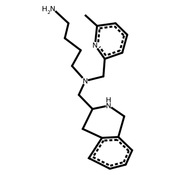 Cc1cccc(CN(CCCCN)CC2Cc3ccccc3CN2)n1